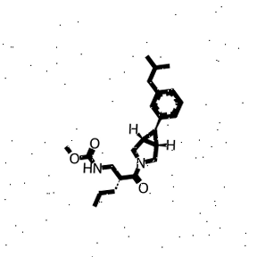 CCC[C@H](CNC(=O)OC)C(=O)N1C[C@@H]2[C@H](C1)[C@H]2c1cccc(CC(C)C)c1